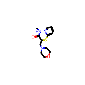 CNC(=O)C(CN1CCOCC1)Sc1ccccn1